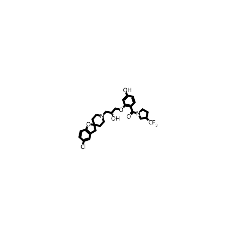 O=C(c1ccc(O)cc1OC[C@@H](O)CN1CCC2(CC1)Cc1cc(Cl)ccc1O2)N1CCC(C(F)(F)F)C1